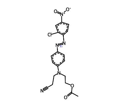 CC(=O)OCCN(CCC#N)c1ccc(/N=N/c2ccc([N+](=O)[O-])cc2Cl)cc1